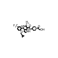 CC1=C(C(=O)NC2CCN(C(=O)CO)CC2)c2[nH]ccc2C(c2cc(C(F)(F)F)ccc2OCC2CC2)N1